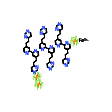 F[P-](F)(F)(F)(F)F.F[P-](F)(F)(F)(F)F.F[P-](F)(F)(F)(F)F.[Fe+3].c1cc(CCc2ccnc(-c3cc(CCc4ccncn4)ccn3)c2)ncn1.c1cc(CCc2ccnc(-c3cc(CCc4ccncn4)ccn3)c2)ncn1.c1cc(CCc2ccnc(-c3cc(CCc4ccncn4)ccn3)c2)ncn1